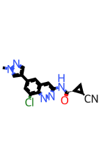 Cn1cc(-c2cc(Cl)c3nnc(NC(=O)[C@@H]4C[C@H]4C#N)cc3c2)cn1